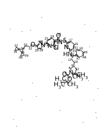 CC(C)(C)OC(=O)N1CC(CCC(Nc2cccc(SNC(=O)c3ccc(-n4ccc(OCCC5C6(CC6)C56CC6)n4)nc3Cl)n2)c2ccccc2)CC1(C)C